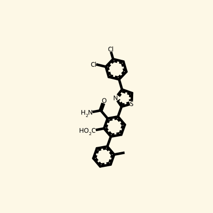 Cc1ccccc1-c1ccc(-c2nc(-c3ccc(Cl)c(Cl)c3)cs2)c(C(N)=O)c1C(=O)O